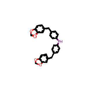 c1cc(Pc2ccc(Cc3ccc4c(c3)OCO4)cc2)ccc1Cc1ccc2c(c1)OCO2